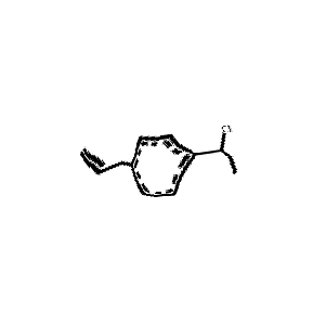 C=Cc1ccc(C(C)Cl)cc1